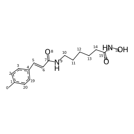 Cc1ccc(/C=C/C(=O)NCCCCCC(=O)NO)cc1